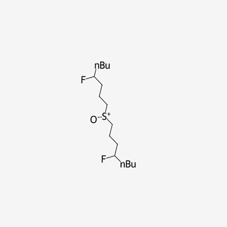 CCCCC(F)CCC[S+]([O-])CCCC(F)CCCC